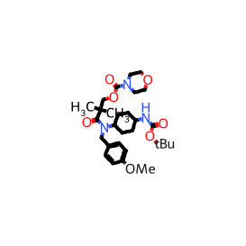 COc1ccc(CN(C(=O)C(C)(C)COC(=O)N2CCOCC2)C2CCC(NC(=O)OC(C)(C)C)CC2)cc1